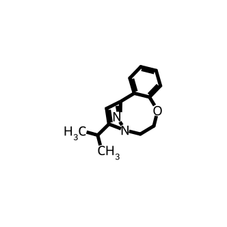 CC(C)c1cc2nn1CCOc1ccccc1-2